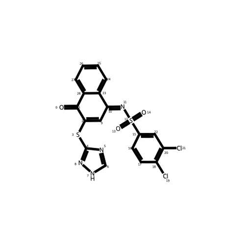 O=C1C(Sc2nc[nH]n2)=CC(=NS(=O)(=O)c2ccc(Cl)c(Cl)c2)c2ccccc21